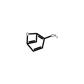 Cc1ccc2cc1O2